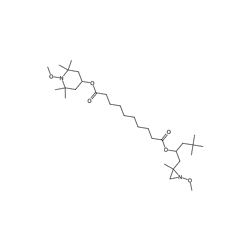 CON1C(C)(C)CC(OC(=O)CCCCCCCCC(=O)OC(CC(C)(C)C)CC2(C)CN2OC)CC1(C)C